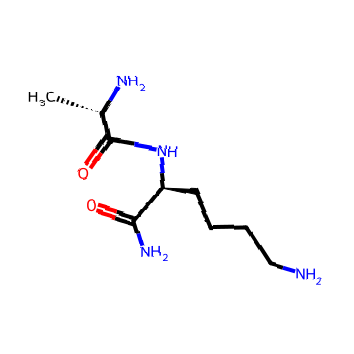 C[C@H](N)C(=O)N[C@@H](CCCCN)C(N)=O